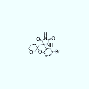 O=C1NC(=O)C2(CC3(CCCOC3)Oc3ccc(Br)cc32)N1